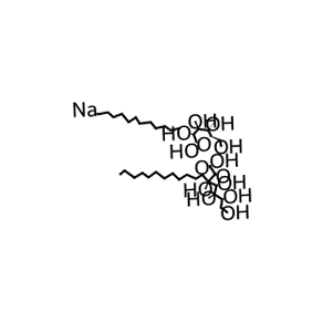 CCCCCCCCCCCC[C@](O)(C(=O)C(=O)O)[C@@H](O)[C@H](O)[C@H](O)CO.CCCCCCCCCCC[CH2][Na].OC[C@H]1OC(O)[C@H](O)[C@@H](O)[C@@H]1O